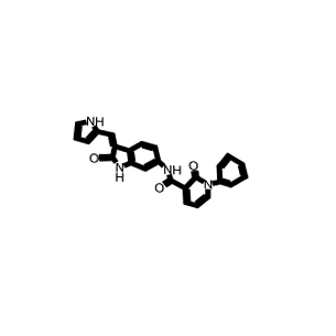 O=C1Nc2cc(NC(=O)c3cccn(-c4ccccc4)c3=O)ccc2C1=Cc1ccc[nH]1